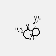 COC[C@@H]1CCC[C@@H]2SCC[C@H](N)C(=O)N12